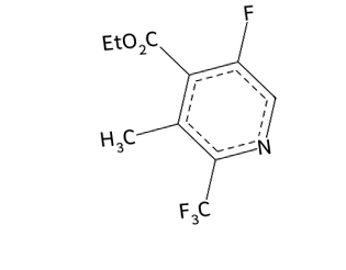 CCOC(=O)c1c(F)cnc(C(F)(F)F)c1C